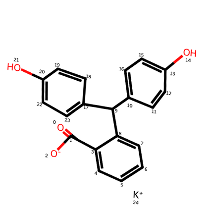 O=C([O-])c1ccccc1C(c1ccc(O)cc1)c1ccc(O)cc1.[K+]